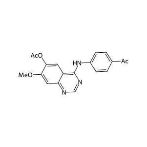 COc1cc2ncnc(Nc3ccc(C(C)=O)cc3)c2cc1OC(C)=O